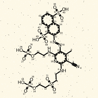 Cc1c(C#N)c(NCCS(=O)(=O)CCOS(=O)(=O)O)nc(NCCOS(=O)(=O)O)c1/N=N/c1ccc2c(S(=O)(=O)O)cccc2c1S(=O)(=O)O